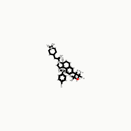 O=C(CC1CCS(=O)(=O)CC1)N1CC[C@]2(S(=O)(=O)c3ccc(F)cc3)c3ccc(C(F)(C(F)(F)F)C(F)(F)F)cc3CC[C@H]12